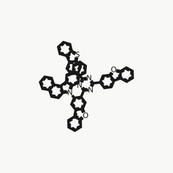 c1ccc2cc3c(cc2c1)c1c2ccccc2ccc1n3-c1cc2c(cc1-c1nc(-c3ccc4c(c3)oc3ccccc34)nc(-c3ccc4c(c3)sc3ccccc34)n1)oc1ccccc12